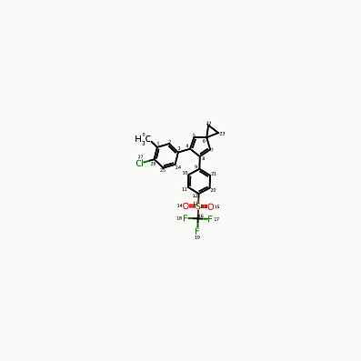 Cc1cc(C2=CC3(C=C2c2ccc(S(=O)(=O)C(F)(F)F)cc2)CC3)ccc1Cl